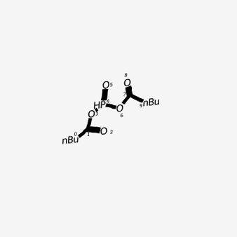 CCCCC(=O)O[PH](=O)OC(=O)CCCC